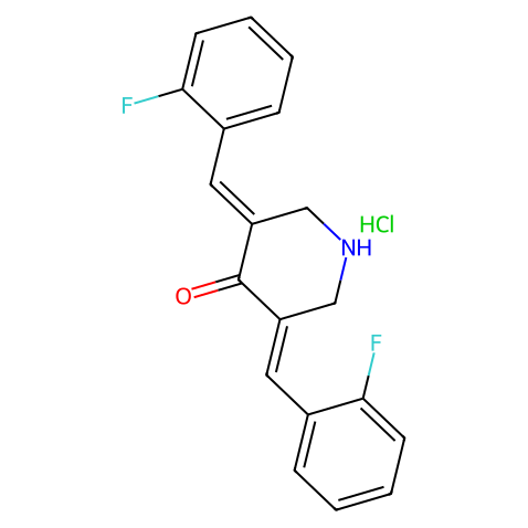 Cl.O=C1/C(=C/c2ccccc2F)CNC/C1=C\c1ccccc1F